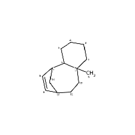 CC12CCCCC1C1C=CC(CC2)C1